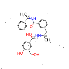 C[C@H](Cc1cccc(C(=O)N[C@H](C)c2ccccc2)c1)NC[C@H](O)c1ccc(O)c(CO)c1